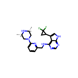 C[C@@H]1CN(c2cccc(CNc3ncnc4[nH]cc(C5CC5(F)F)c34)n2)C[C@H](C)N1